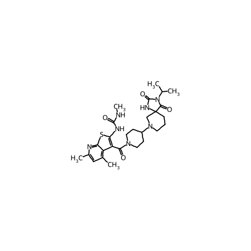 CNC(=O)Nc1sc2nc(C)cc(C)c2c1C(=O)N1CCC(N2CCCC3(C2)NC(=O)N(C(C)C)C3=O)CC1